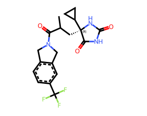 CC(C[C@]1(C2CC2)NC(=O)NC1=O)C(=O)N1Cc2ccc(C(F)(F)F)cc2C1